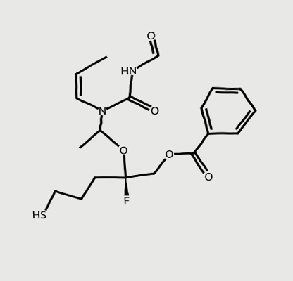 C/C=C\N(C(=O)NC=O)C(C)O[C@@](F)(CCCS)COC(=O)c1ccccc1